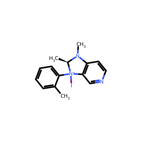 Cc1ccccc1[N+]1(I)c2cnccc2N(C)[C@@H]1C